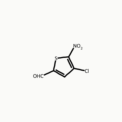 O=Cc1cc(Cl)c([N+](=O)[O-])s1